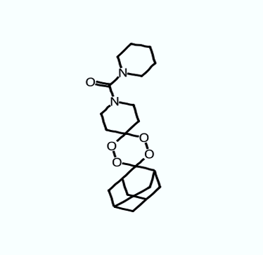 O=C(N1CCCCC1)N1CCC2(CC1)OOC1(OO2)C2CC3CC(C2)CC1C3